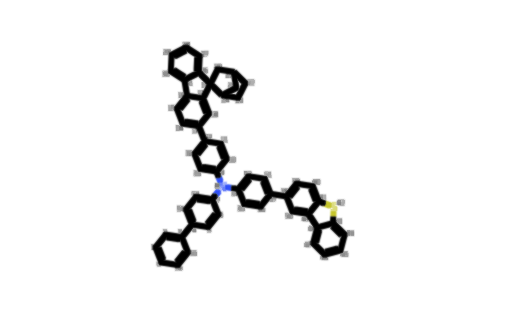 c1ccc(-c2ccc(N(c3ccc(-c4ccc5c(c4)C4(CC6CCC4C6)c4ccccc4-5)cc3)c3ccc(-c4ccc5sc6ccccc6c5c4)cc3)cc2)cc1